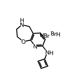 Br.Br.C1=CC(Nc2ccc3c(n2)OCCNC3)=C1